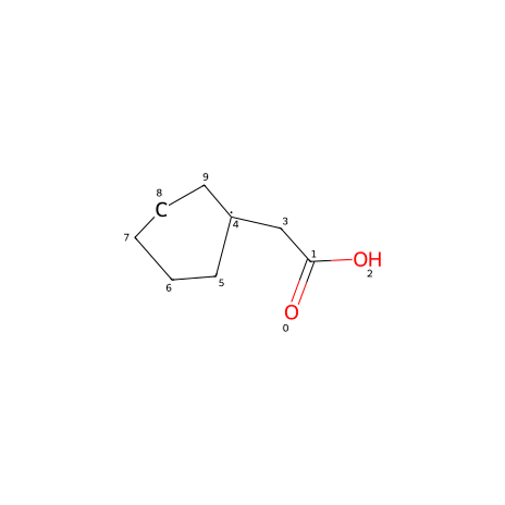 O=C(O)C[C]1CCCCC1